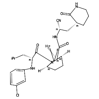 CC(C)C[C@@H](Nc1cccc(Cl)c1)C(=O)N1[C@@H]2CC[C@H]([C@@H]1C(=O)N[C@H](C#N)C[C@H]1CCCNC1=O)C(F)(F)C2